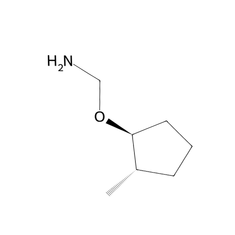 C[C@H]1CCC[C@@H]1OCN